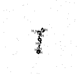 Nc1cc(N2CCNCC2)nc(NCC2CCC(CNCCCNC3C[C@@H]4CC[C@H]3C4)CC2)n1